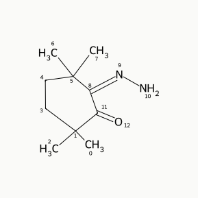 CC1(C)CCC(C)(C)C(=NN)C1=O